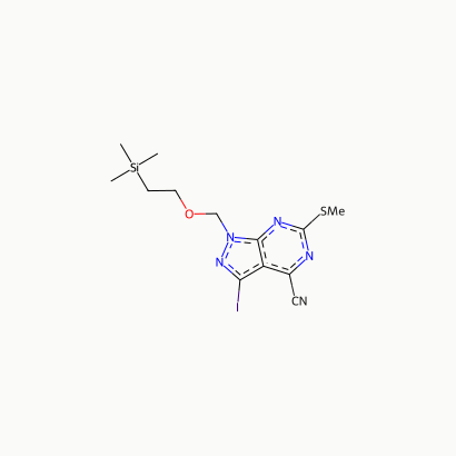 CSc1nc(C#N)c2c(I)nn(COCC[Si](C)(C)C)c2n1